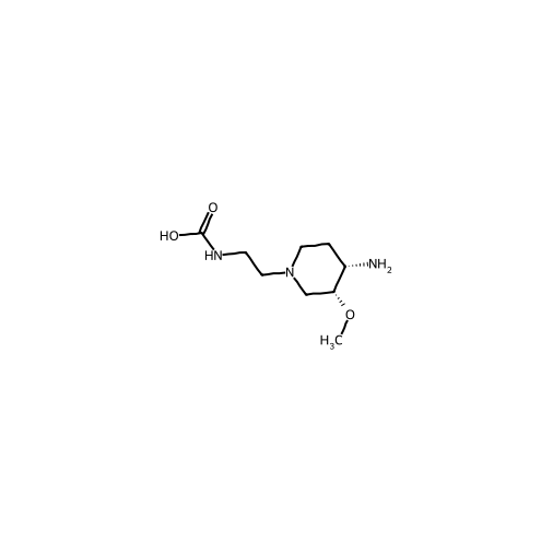 CO[C@@H]1CN(CCNC(=O)O)CC[C@@H]1N